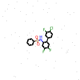 O=S(=O)(Nc1cc(F)c(F)cc1-c1ccc(Cl)c(F)c1)c1ccccc1